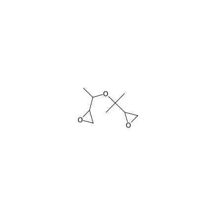 CC(OC(C)(C)C1CO1)C1CO1